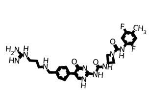 Cc1cc(F)c(NC(=O)N2CC(NC(=O)Nc3nc(=O)c(-c4ccc(CNCCCNC(=N)N)cc4)c[nH]3)C2)cc1F